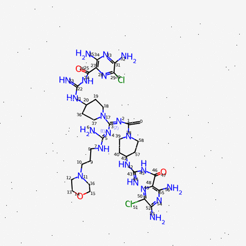 C=C(/N=C(\N=C(/N)NCCCN1CCOCC1)N1CCC(NC(=N)NC(=O)c2nc(Cl)c(N)nc2N)CC1)N1CCC(NC(=N)NC(=O)c2nc(Cl)c(N)nc2N)CC1